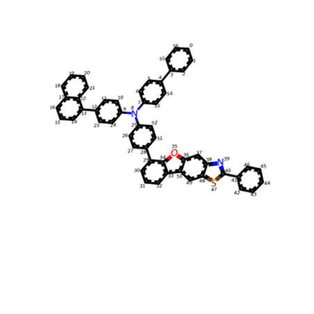 c1ccc(-c2ccc(N(c3ccc(-c4cccc5ccccc45)cc3)c3ccc(-c4cccc5c4oc4cc6nc(-c7ccccc7)sc6cc45)cc3)cc2)cc1